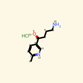 Cc1ccc(C(=O)CCCN)cn1.Cl